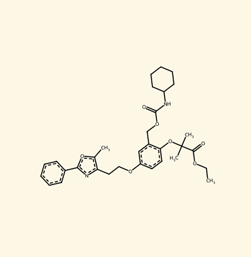 CCOC(=O)C(C)(C)Oc1ccc(OCCc2nc(-c3ccccc3)oc2C)cc1COC(=O)NC1CCCCC1